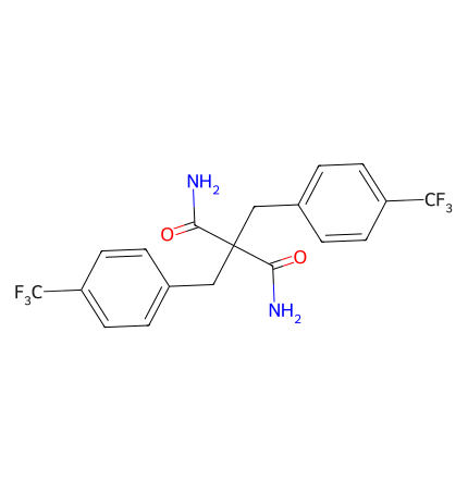 NC(=O)C(Cc1ccc(C(F)(F)F)cc1)(Cc1ccc(C(F)(F)F)cc1)C(N)=O